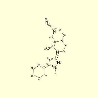 Cn1nc(N2CCN3CCN(C#N)CC3C2=O)cc1C1CCCCC1